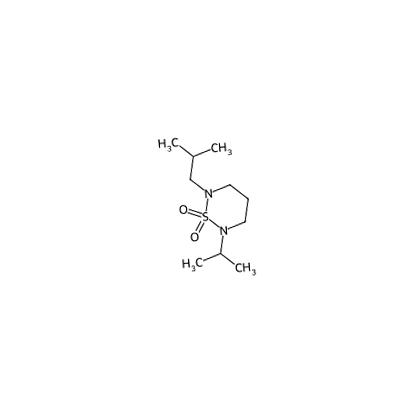 CC(C)CN1CCCN(C(C)C)S1(=O)=O